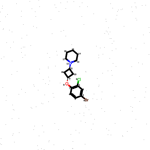 Clc1cc(Br)ccc1O[C@H]1C[C@H](N2CCCCC2)C1